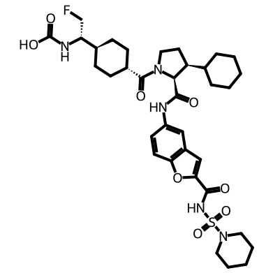 O=C(O)N[C@H](CF)[C@H]1CC[C@H](C(=O)N2CC[C@@H](C3CCCCC3)[C@H]2C(=O)Nc2ccc3oc(C(=O)NS(=O)(=O)N4CCCCC4)cc3c2)CC1